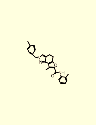 Cc1ccc(Cn2cc3c(n2)-c2c(oc(C(=O)Nc4ccccc4C)c2C)CC3)cc1